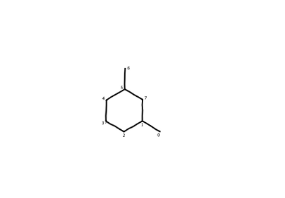 CC1C[CH]CC(C)C1